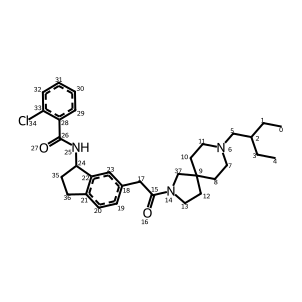 CCC(CC)CN1CCC2(CC1)CCN(C(=O)Cc1ccc3c(c1)C(NC(=O)c1ccccc1Cl)CC3)C2